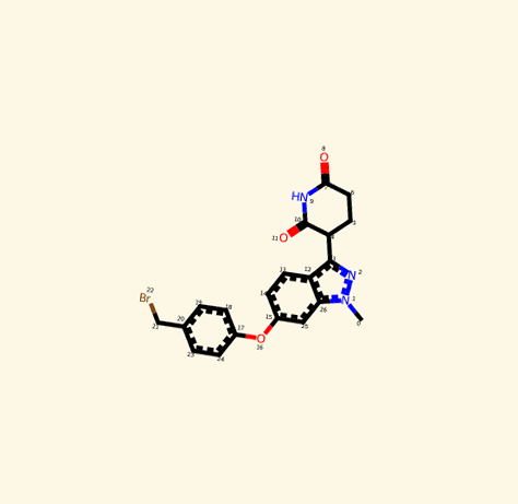 Cn1nc(C2CCC(=O)NC2=O)c2ccc(Oc3ccc(CBr)cc3)cc21